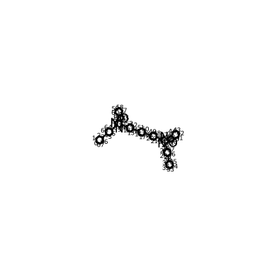 c1ccc(-c2ccc(-c3nc(-c4ccc(-c5ccc(-c6ccc(-c7nc(-c8ccc(-c9ccccc9)cc8)c8oc9ccccc9c8n7)cc6)cc5)cc4)c4oc5ccccc5c4n3)cc2)cc1